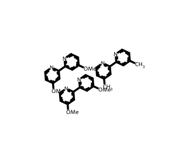 COc1ccnc(-c2cc(OC)ccn2)c1.COc1ccnc(-c2cc(OC)ccn2)c1.Cc1ccnc(-c2cc(C)ccn2)c1